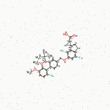 COc1ccc(F)c(-c2ccc(COc3cc(F)c4c(c3F)[C@]3(CC4)C[C@H]3C(=O)O)cc2[C@@H](OC)C(C)(C)C)c1